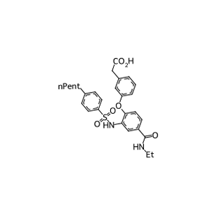 CCCCCc1ccc(S(=O)(=O)Nc2cc(C(=O)NCC)ccc2Oc2cccc(CC(=O)O)c2)cc1